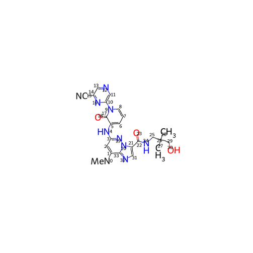 CNc1cc(Nc2cccn(-c3cncc(C#N)n3)c2=O)nn2c(C(=O)NCC(C)(C)CO)cnc12